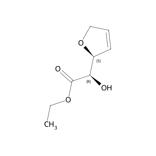 CCOC(=O)[C@H](O)[C@@H]1C=CCO1